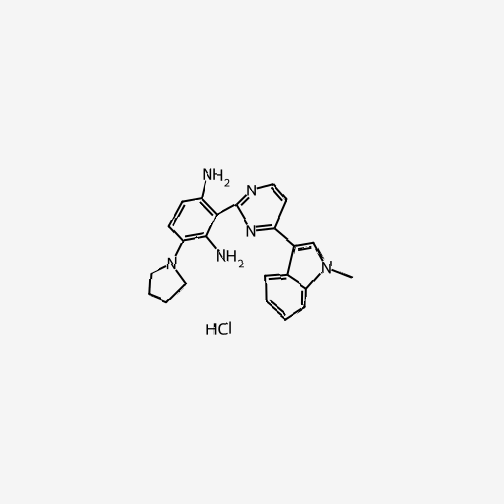 Cl.Cn1cc(-c2ccnc(-c3c(N)ccc(N4CCCC4)c3N)n2)c2ccccc21